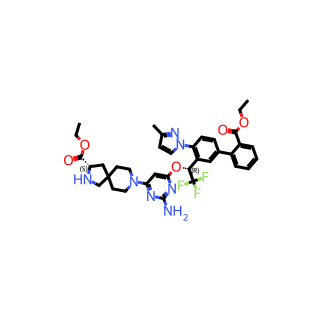 CCOC(=O)c1ccccc1-c1ccc(-n2ccc(C)n2)c([C@@H](Oc2cc(N3CCC4(CC3)CN[C@H](C(=O)OCC)C4)nc(N)n2)C(F)(F)F)c1